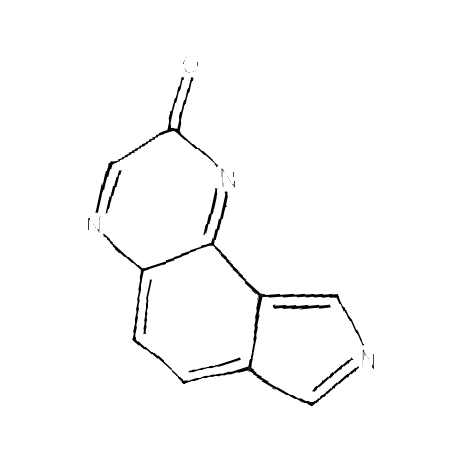 O=C1C=Nc2ccc3c(c2=N1)=CN=C3